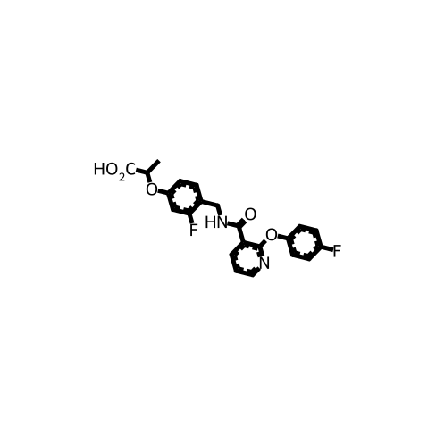 CC(Oc1ccc(CNC(=O)c2cccnc2Oc2ccc(F)cc2)c(F)c1)C(=O)O